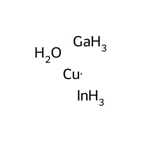 O.[Cu].[GaH3].[InH3]